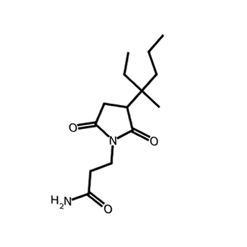 CCCC(C)(CC)C1CC(=O)N(CCC(N)=O)C1=O